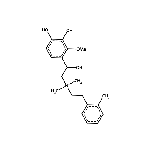 COc1c(C(O)C[N+](C)(C)CCc2ccccc2C)ccc(O)c1O